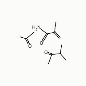 C=C(C)C(N)=O.CC(=O)C(C)C.CC(C)=O